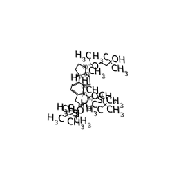 CC(OCCC(C)(C)O)[C@H]1CC[C@H]2C3=CC=C4C[C@@H](O[Si](C)(C)C(C)(C)C)C[C@H](O[Si](C)(C)C(C)(C)C)[C@]4(C)[C@H]3CC[C@]12C